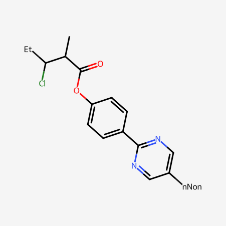 CCCCCCCCCc1cnc(-c2ccc(OC(=O)C(C)C(Cl)CC)cc2)nc1